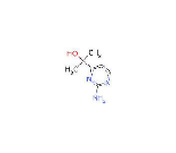 CC(C)(O)c1ccnc(N)n1